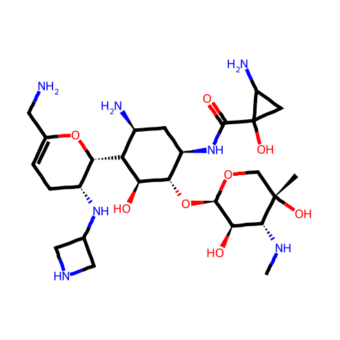 CN[C@@H]1[C@@H](O)[C@@H](O[C@H]2[C@H](NC(=O)C3(O)CC3N)C[C@H](N)C([C@H]3OC(CN)=CC[C@H]3NC3CNC3)[C@@H]2O)OC[C@]1(C)O